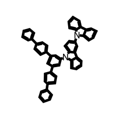 c1ccc(-c2ccc(-c3cc(-c4ccc(-c5ccccc5)cc4)cc(-n4c5ccccc5c5cc(-n6c7ccccc7c7ccccc76)ccc54)c3)cc2)cc1